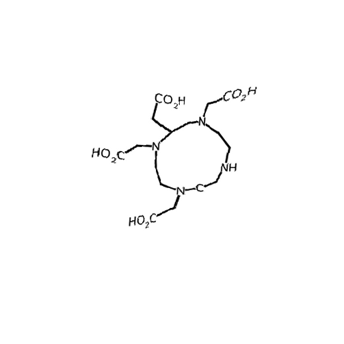 O=C(O)CC1CN(CC(=O)O)CCNCCN(CC(=O)O)CCN1CC(=O)O